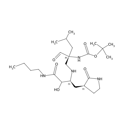 CCCCNC(=O)C(O)[C@H](C[C@@H]1CCNC1=O)NC[C@@](C=O)(CC(C)C)NC(=O)OC(C)(C)C